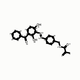 C=C(C)C(=O)OCc1ccc(N=Nc2c(O)ccc(C(=O)c3ccccc3)c2O)cc1